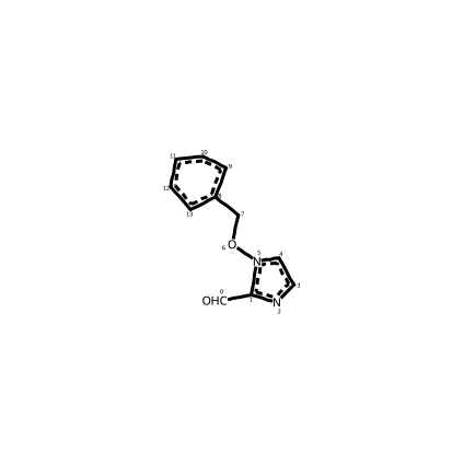 O=Cc1nccn1OCc1ccccc1